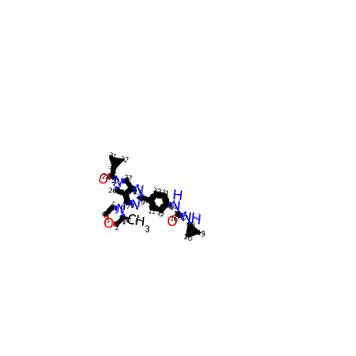 C[C@H]1COCCN1c1nc(-c2ccc(NC(=O)NC3CC3)cc2)nc2c1CN(C(=O)C1CC1)C2